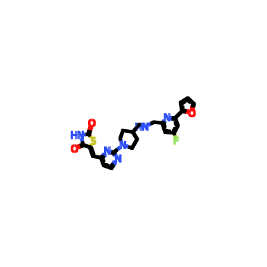 O=C1NC(=O)C(=Cc2ccnc(N3CCC(CNCc4cc(F)cc(-c5ccco5)n4)CC3)n2)S1